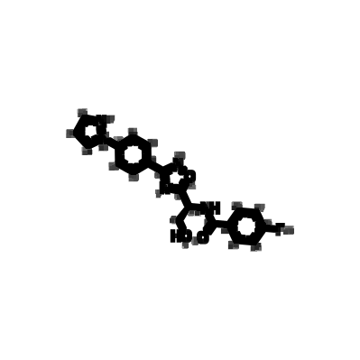 O=C(N[C@@H](CO)c1nc(-c2ccc(-n3cccn3)cc2)no1)c1ccc(F)cc1